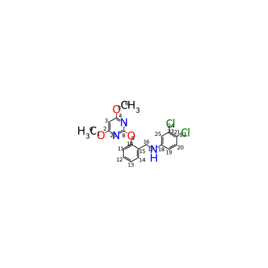 COc1cc(OC)nc(Oc2ccccc2CNc2ccc(Cl)c(Cl)c2)n1